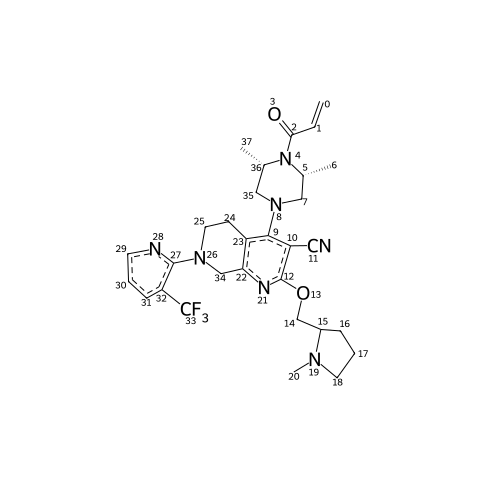 C=CC(=O)N1[C@H](C)CN(c2c(C#N)c(OCC3CCCN3C)nc3c2CCN(c2ncccc2C(F)(F)F)C3)C[C@@H]1C